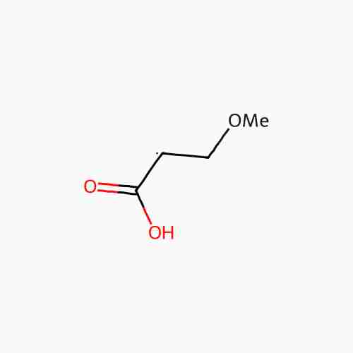 COC[CH]C(=O)O